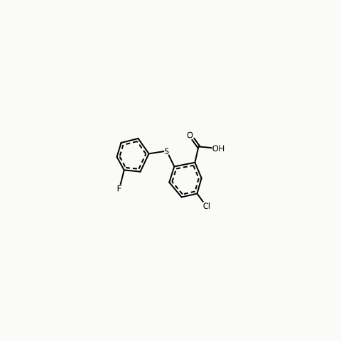 O=C(O)c1cc(Cl)ccc1Sc1cccc(F)c1